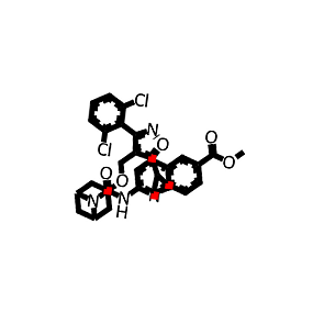 COC(=O)c1ccc2nc(NC(=O)N3C4CC(OCc5c(-c6c(Cl)cccc6Cl)noc5C5CC5)CC3C4)ccc2c1